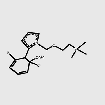 COC1(Cl)C=CC=C(F)C1c1cccn1COCC[Si](C)(C)C